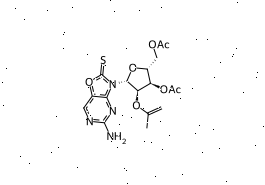 C=C(C)O[C@@H]1[C@H](OC(C)=O)[C@@H](COC(C)=O)O[C@H]1n1c(=S)oc2cnc(N)nc21